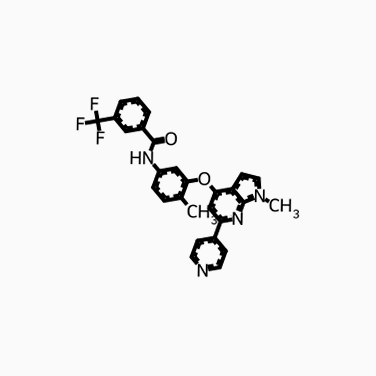 Cc1ccc(NC(=O)c2cccc(C(F)(F)F)c2)cc1Oc1cc(-c2ccncc2)nc2c1ccn2C